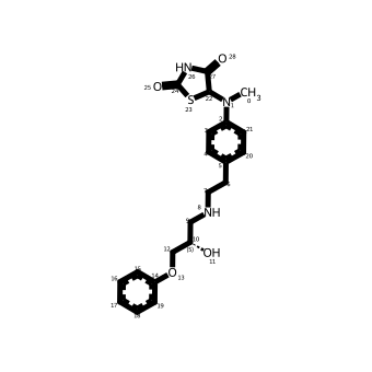 CN(c1ccc(CCNC[C@H](O)COc2ccccc2)cc1)C1SC(=O)NC1=O